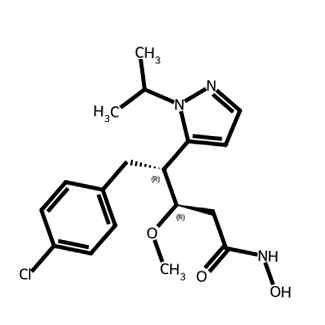 CO[C@H](CC(=O)NO)[C@H](Cc1ccc(Cl)cc1)c1ccnn1C(C)C